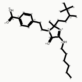 CCCCCCNC1=NC(C)(CCC(C)C(C)(C)C)N(CCc2ccc(C(=O)O)cc2)C1=O